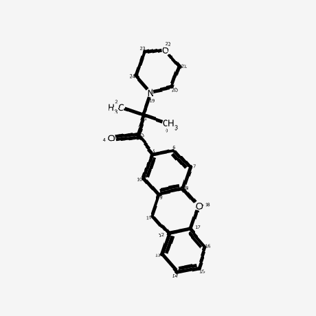 CC(C)(C(=O)c1ccc2c(c1)Cc1ccccc1O2)N1CCOCC1